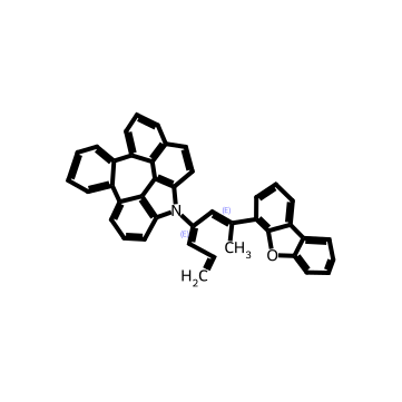 C=C/C=C(\C=C(/C)c1cccc2c1oc1ccccc12)n1c2cccc3c2c2c4c(cccc4ccc21)-c1ccccc1-3